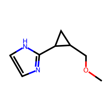 COCC1CC1c1ncc[nH]1